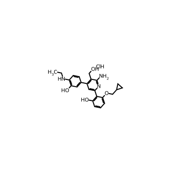 CCNc1ccc(-c2cc(-c3c(O)cccc3OCC3CC3)nc(N)c2CO)cc1O.Cl